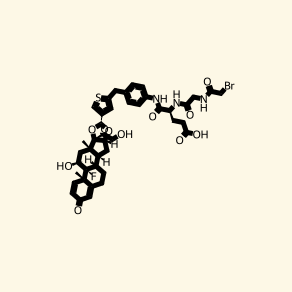 C[C@]12C=CC(=O)C=C1CC[C@H]1[C@@H]3C[C@H]4O[C@@H](c5csc(Cc6ccc(NC(=O)[C@H](CCC(=O)O)NC(=O)CNC(=O)CBr)cc6)c5)O[C@@]4(C(=O)CO)[C@@]3(C)C[C@H](O)[C@@]12F